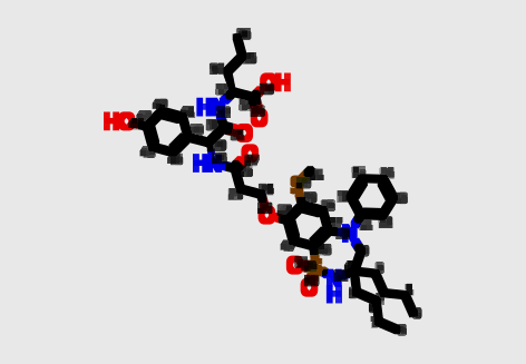 CCCCC1(CCCC)CN(c2ccccc2)c2cc(SC)c(OCCC(=O)N[C@@H](C(=O)N[C@@H](CCC)C(=O)O)c3ccc(O)cc3)cc2S(=O)(=O)N1